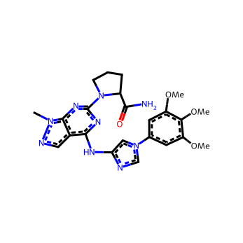 COc1cc(-n2cnc(Nc3nc(N4CCCC4C(N)=O)nc4c3cnn4C)c2)cc(OC)c1OC